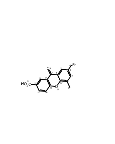 Cc1cc(C(C)C)cc2c(=O)c3cc(C(=O)O)ccc3oc12